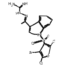 CC(=NNC(=N)N)c1cn(S(=O)(=O)c2c(Cl)sc(Cl)c2Br)c2ccccc12